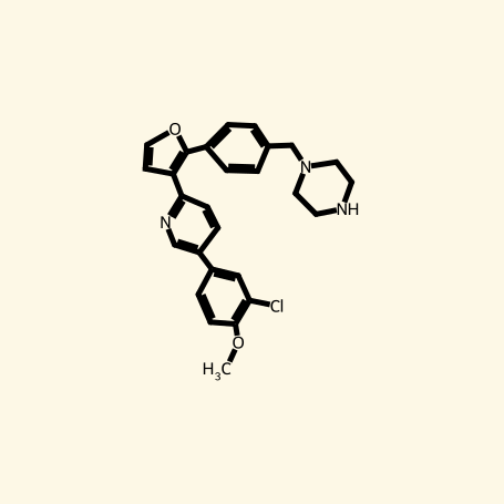 COc1ccc(-c2ccc(-c3ccoc3-c3ccc(CN4CCNCC4)cc3)nc2)cc1Cl